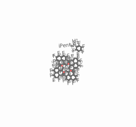 CCCC(C)C[NH+](CC)c1c(F)c(F)c(F)c(F)c1F.Fc1c(F)c2c(F)c(F)c3c(F)c(F)[c]([Al-]([c]4c(F)c(F)c5c(F)c(F)c6c(F)c(F)c(F)c7c(F)c(F)c4c5c67)([c]4c(F)c(F)c5c(F)c(F)c6c(F)c(F)c(F)c7c(F)c(F)c4c5c67)[c]4c(F)c(F)c5c(F)c(F)c6c(F)c(F)c(F)c7c(F)c(F)c4c5c67)c4c(F)c(F)c(c1F)c2c34